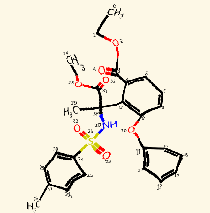 CCOC(=O)c1cccc(Oc2ccccc2)c1C(C)(NS(=O)(=O)c1ccc(C)cc1)C(=O)OC